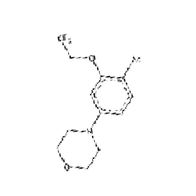 CC(=O)c1ccc(N2CCOCC2)cc1OCC(F)(F)F